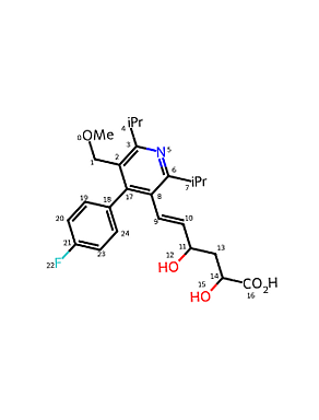 COCc1c(C(C)C)nc(C(C)C)c(/C=C/C(O)CC(O)C(=O)O)c1-c1ccc(F)cc1